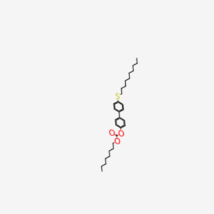 CCCCCCCCCCSc1ccc(-c2ccc(OC(=O)OCCCCCCCC)cc2)cc1